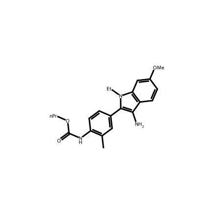 CCCOC(=O)Nc1ccc(-c2c(N)c3ccc(OC)cc3n2CC)cc1C